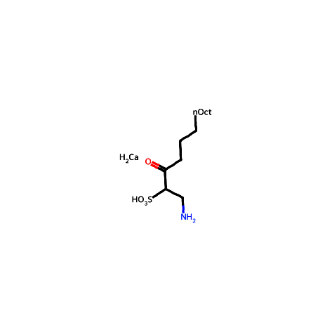 CCCCCCCCCCCC(=O)C(CN)S(=O)(=O)O.[CaH2]